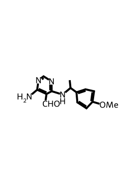 COc1ccc(C(C)Nc2ncnc(N)c2C=O)cc1